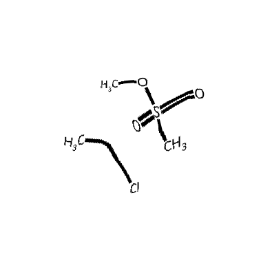 CCCl.COS(C)(=O)=O